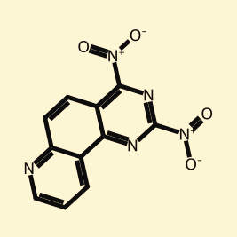 O=[N+]([O-])c1nc([N+](=O)[O-])c2ccc3ncccc3c2n1